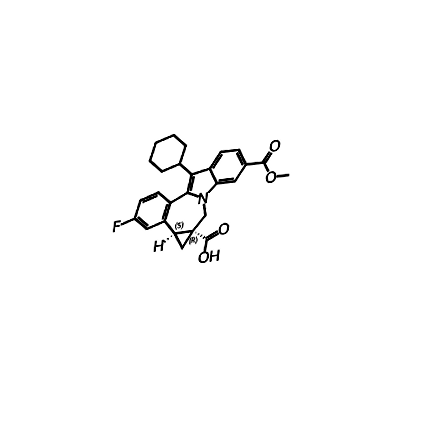 COC(=O)c1ccc2c(C3CCCCC3)c3n(c2c1)C[C@@]1(C(=O)O)C[C@H]1c1cc(F)ccc1-3